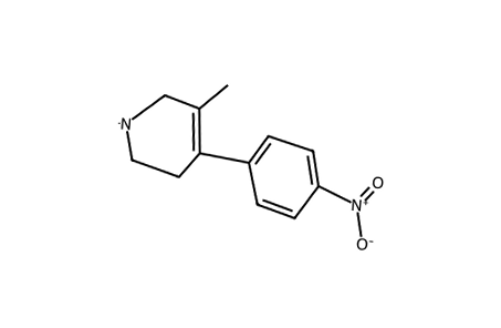 CC1=C(c2ccc([N+](=O)[O-])cc2)CC[N]C1